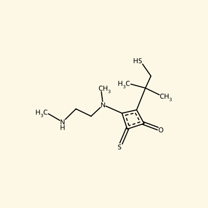 CNCCN(C)c1c(C(C)(C)CS)c(=O)c1=S